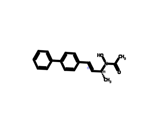 CC(=O)N(O)[C@H](C)/C=C/c1ccc(-c2ccccc2)cc1